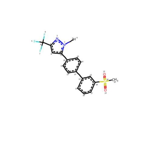 [2H]n1nc(C(F)(F)F)cc1-c1ccc(-c2cccc(S(C)(=O)=O)c2)cc1